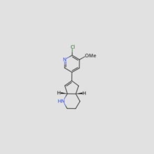 COc1cc(C2=C[C@H]3NCCC[C@H]3C2)cnc1Cl